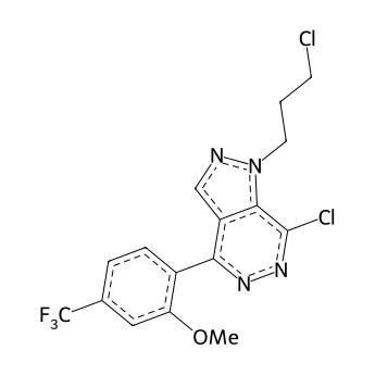 COc1cc(C(F)(F)F)ccc1-c1nnc(Cl)c2c1cnn2CCCCl